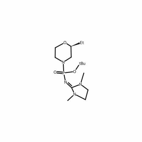 CC[C@H]1CN(P(=O)(N=C2N(C)CCN2C)OC(C)(C)C)CCO1